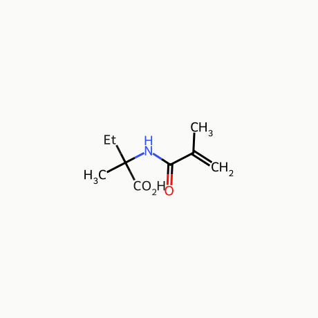 C=C(C)C(=O)NC(C)(CC)C(=O)O